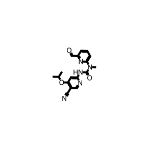 CC(C)Oc1cc(NC(=O)N(C)c2cccc(C=O)n2)ncc1C#N